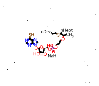 CCCCCCCCCCCCSC(CCCCCCC)C(C)OCCCOP(=O)(O)OC[C@H]1O[C@@H](On2cnc3c(S)ncnc32)[C@H](O)[C@@H]1O.[NaH]